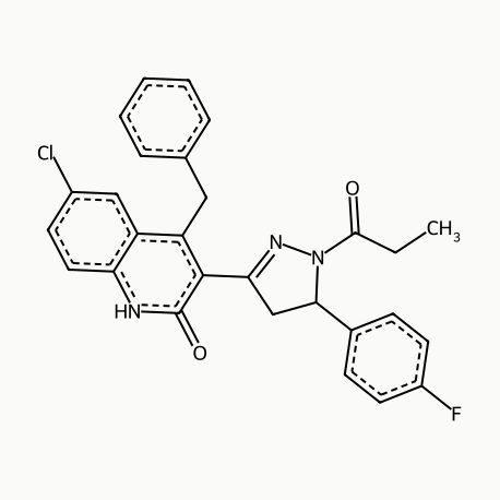 CCC(=O)N1N=C(c2c(Cc3ccccc3)c3cc(Cl)ccc3[nH]c2=O)CC1c1ccc(F)cc1